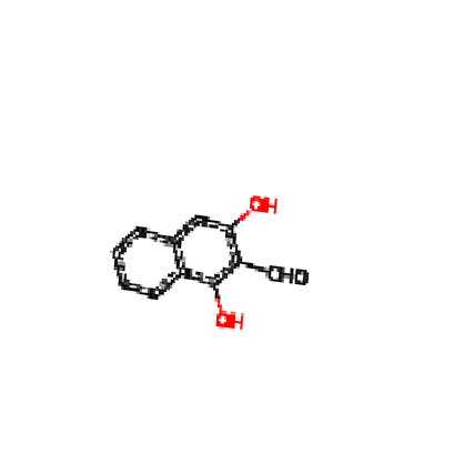 O=Cc1c(O)cc2ccccc2c1O